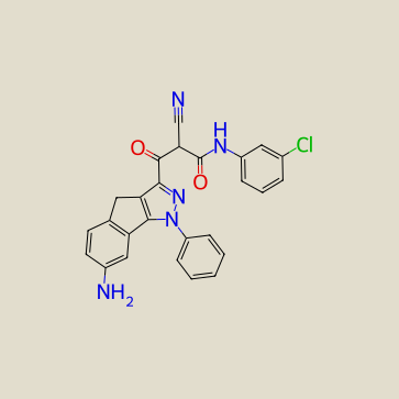 N#CC(C(=O)Nc1cccc(Cl)c1)C(=O)c1nn(-c2ccccc2)c2c1Cc1ccc(N)cc1-2